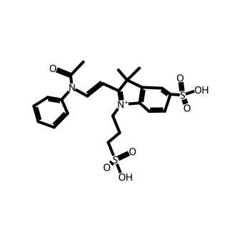 CC(=O)N(/C=C/C1=[N+](CCCS(=O)(=O)O)c2ccc(S(=O)(=O)O)cc2C1(C)C)c1ccccc1